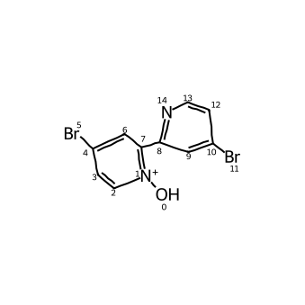 O[n+]1ccc(Br)cc1-c1cc(Br)ccn1